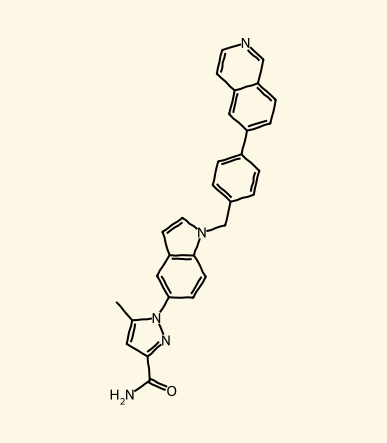 Cc1cc(C(N)=O)nn1-c1ccc2c(ccn2Cc2ccc(-c3ccc4cnccc4c3)cc2)c1